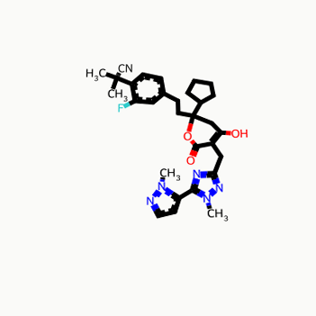 Cn1nccc1-c1nc(CC2=C(O)CC(CCc3ccc(C(C)(C)C#N)c(F)c3)(C3CCCC3)OC2=O)nn1C